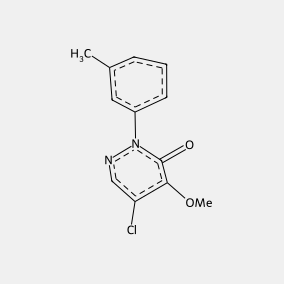 COc1c(Cl)cnn(-c2cccc(C)c2)c1=O